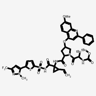 C=CC1CC1(NC(=O)C1CC(Oc2cc(-c3ccccc3)nc3cc(OC)ccc23)CN1C(=O)C(NC(=O)OC(C)(C)C)C(C)(C)C)C(=O)NS(=O)(=O)c1ccc(-c2cc(C(F)(F)F)nn2C)s1